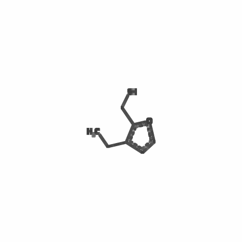 CCc1ccoc1CS